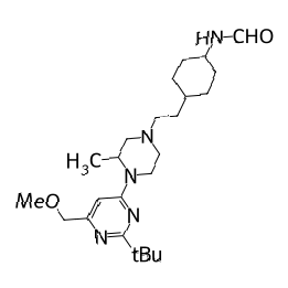 COCc1cc(N2CCN(CCC3CCC(NC=O)CC3)CC2C)nc(C(C)(C)C)n1